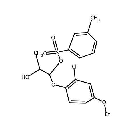 CCOc1ccc(OC(OS(=O)(=O)c2cccc(C)c2)C(C)O)c(Cl)c1